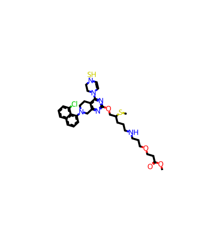 COC(=O)CCOCCCNCCCC(COc1nc2c(c(N3C=CN(S)CC3)n1)CCN(c1cccc3cccc(Cl)c13)C2)SC